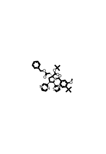 COc1cc(C(=O)N2[C@@H](c3nccs3)[C@@H](c3cnccn3)C[C@@]2(CC(=O)OCc2ccccc2)C(=O)OC(C)(C)C)ccc1C(C)(C)C